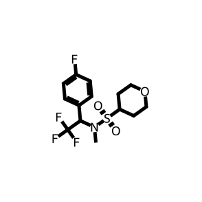 CN(C(c1ccc(F)cc1)C(F)(F)F)S(=O)(=O)C1CCOCC1